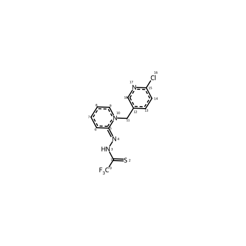 FC(F)(F)C(=S)NN=c1ccccn1Cc1ccc(Cl)nc1